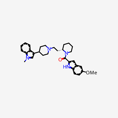 COc1ccc2[nH]c(C(=O)N3CCCC[C@H]3CCN3CCC(c4cn(C)c5ccccc45)CC3)cc2c1